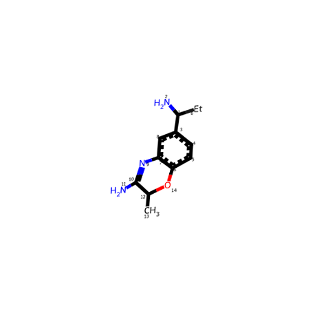 CCC(N)c1ccc2c(c1)N=C(N)C(C)O2